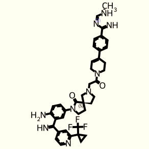 CN/C=N\C(=N)c1ccc(C2=CCN(C(=O)CN3CC[C@]4(CCN(c5ccc(N)c(C(=N)c6ccnc(C7(C(F)(F)F)CC7)c6)c5)C4=O)C3)CC2)cc1